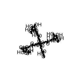 COCNC(=O)CCCC(=O)NC(COCCC(=O)NCCOC1OC(CO)C(O)C(O)C1NC(C)=O)(COCCC(=O)NCCOC1OC(CO)C(O)C(O)C1NC(C)=O)COCCC(=O)NCCOC1OC(CO)C(O)C(O)C1NC(C)=O